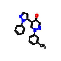 O=c1cnn(-c2cccc(C(F)(F)F)c2)cc1-c1ccnn1-c1ccccc1